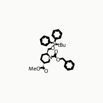 COC(=O)[C@@H]1CC[C@@H](CO[Si](c2ccccc2)(c2ccccc2)C(C)(C)C)N(C(=O)OCc2ccccc2)C1